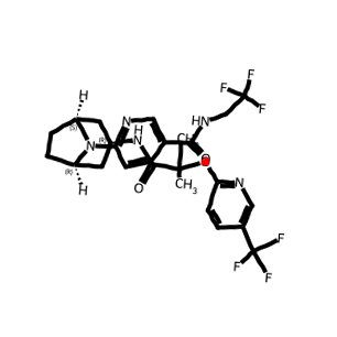 CC(C)(Oc1ccc(C(F)(F)F)cn1)C(=O)N[C@H]1C[C@H]2CC[C@@H](C1)N2c1ccc(C(=O)NCC(F)(F)F)cn1